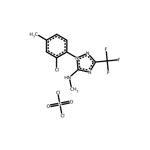 CNc1nc(C(F)(F)F)nn1-c1ccc(C)cc1Cl.O=S(=O)(Cl)Cl